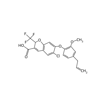 C=CCc1ccc(Oc2cc3c(cc2Cl)C=C(C(=O)O)C(C(F)(F)F)O3)c(OC)c1